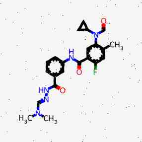 Cc1cc(F)c(C(=O)Nc2cccc(C(=O)NN=CN(C)C)c2)cc1N(C=O)C1CC1